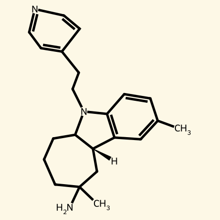 Cc1ccc2c(c1)[C@@H]1CC(C)(N)CCCC1N2CCc1ccncc1